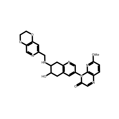 COc1ccc2ncc(=O)n(-c3cnc4c(c3)CC(O)C(NCc3cc5c(cn3)OCCO5)C4)c2n1